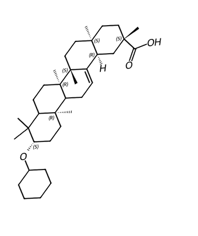 CC1(C)C2CC[C@]3(C)C(CC=C4[C@@H]5C[C@@](C)(C(=O)O)CC[C@]5(C)CC[C@]43C)[C@@]2(C)CC[C@@H]1OC1CCCCC1